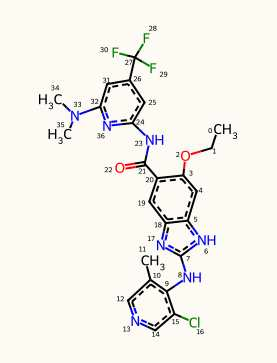 CCOc1cc2[nH]c(Nc3c(C)cncc3Cl)nc2cc1C(=O)Nc1cc(C(F)(F)F)cc(N(C)C)n1